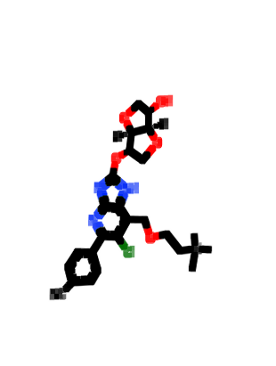 C[Si](C)(C)CCOCc1c(Cl)c(-c2ccc(C#N)cc2)nc2nc(O[C@@H]3CO[C@H]4[C@@H]3OC[C@H]4O)[nH]c12